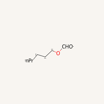 C[CH][C][C][C][C]O[C]=O